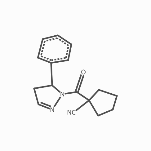 N#CC1(C(=O)N2N=CCC2c2ccccc2)CCCC1